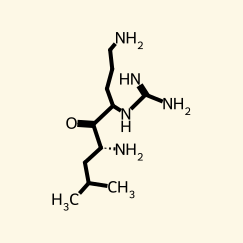 CC(C)C[C@@H](N)C(=O)C(CCCN)NC(=N)N